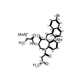 CN[C@@H](C)C(=O)N[C@H]1CN(C(=O)C[S+](C)[O-])c2ccccc2N(Cc2c(OC)ccc3cc(Br)ccc23)C1=O